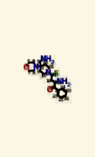 NCC1(N2CCOCC2)CCN(C(F)CC(N)C(=O)c2ccccc2)CC1